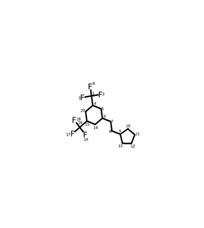 FC(F)(F)C1CC(CCC2CCCC2)CC(C(F)(F)F)C1